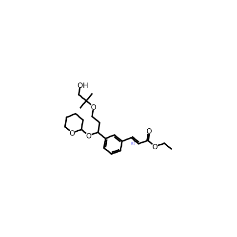 CCOC(=O)/C=C/c1cccc(C(CCOC(C)(C)CO)OC2CCCCO2)c1